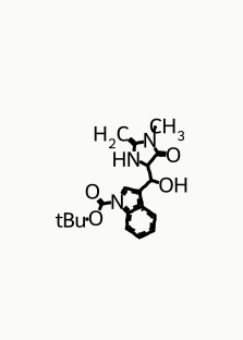 C=C1NC(C(O)c2cn(C(=O)OC(C)(C)C)c3ccccc23)C(=O)N1C